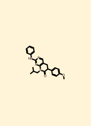 COc1ccc(C2Cc3cnc(Nc4ccccc4)nc3N(CC(C)C)C2=O)cc1